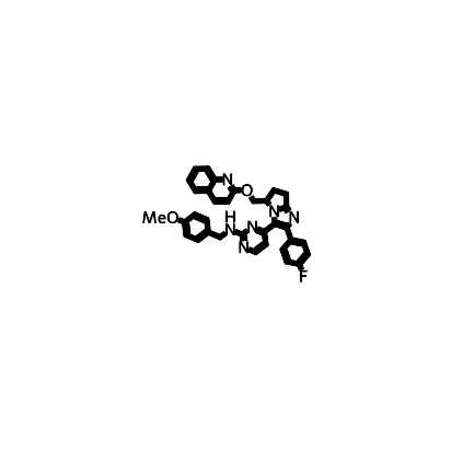 COc1ccc(CNc2nccc(-c3c(-c4ccc(F)cc4)nc4n3C(COc3ccc5ccccc5n3)CC4)n2)cc1